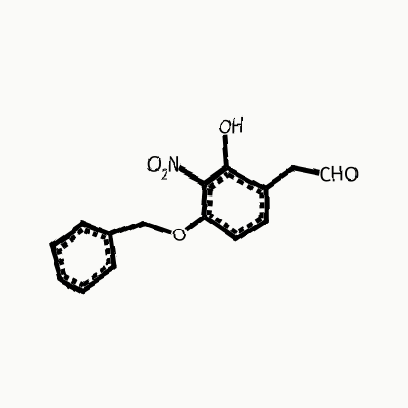 O=CCc1ccc(OCc2ccccc2)c([N+](=O)[O-])c1O